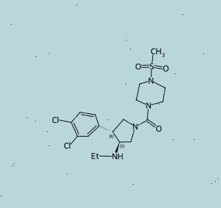 CCN[C@@H]1CN(C(=O)N2CCN(S(C)(=O)=O)CC2)C[C@H]1c1ccc(Cl)c(Cl)c1